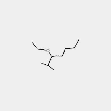 CCCCC(OCC)[C](C)C